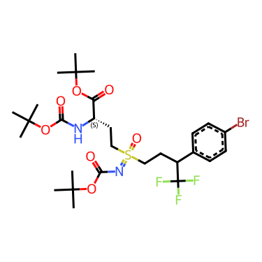 CC(C)(C)OC(=O)N=S(=O)(CCC(c1ccc(Br)cc1)C(F)(F)F)CC[C@H](NC(=O)OC(C)(C)C)C(=O)OC(C)(C)C